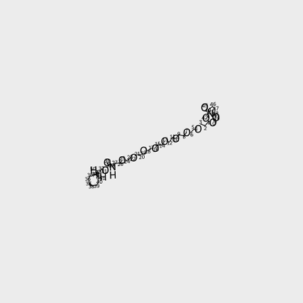 O=C(CCOCCOCCOCCOCCOCCOCCOCCOCCNC(=O)OC[C@@H]1[C@@H]2CCC#CCC[C@@H]21)ON1C(=O)CCC1=O